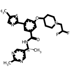 Cc1ncc([C@@H](C)NC(=O)c2cc(OC3CCN(CC(F)F)CC3)cc(-c3ncc(C)s3)c2)cn1